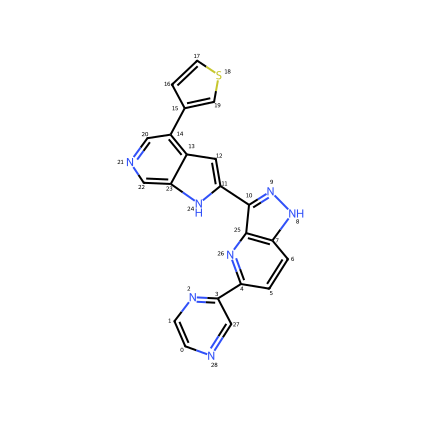 c1cnc(-c2ccc3[nH]nc(-c4cc5c(-c6ccsc6)cncc5[nH]4)c3n2)cn1